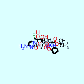 CC(C)OC(=O)[C@H](C)N[P@](=O)(Oc1ccccc1)OC(C)(C)[C@H]1O[C@@H](n2ccc(N)nc2=O)[C@@](O)(CF)C1O